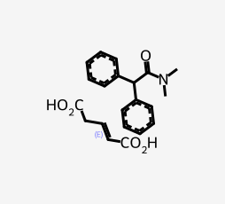 CN(C)C(=O)C(c1ccccc1)c1ccccc1.O=C(O)/C=C/CC(=O)O